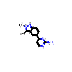 CC(C)c1c2cc(-c3ccnc(N)n3)ccc2nn1C